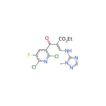 CCOC(=O)C(=CNc1ncnn1C)C(=O)c1cc(F)c(Cl)nc1Cl